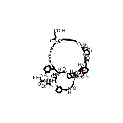 CC[C@H](N)C(=O)N[C@H](CC)C(=O)N[C@H]1Cc2cccc(c2)CNC(=O)CO[C@H]2CCN3C(=O)[C@H](Cc4cn(c5ccc(F)cc45)CCCCCCN(C(=O)CCC(=O)O)Cc4ccc(cc4)CCNC(=O)[C@]4(C)CCCN4C(=O)[C@H](Cc4ccc(OC)cc4)NC(=O)[C@H]([C@@H](C)O)NC(=O)[C@H]23)NC1=O